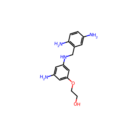 Nc1cc(NCc2cc(N)ccc2N)cc(OCCO)c1